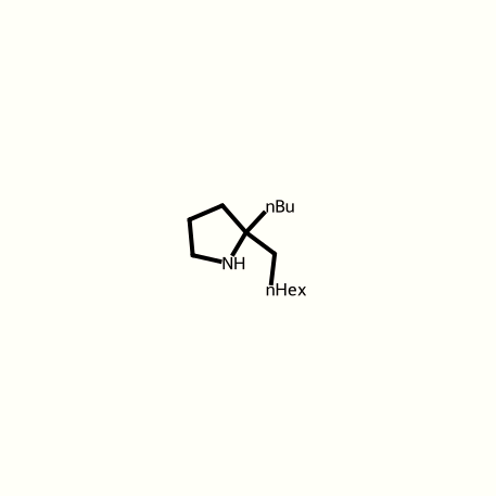 CCCCCCCC1(CCCC)CCCN1